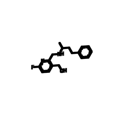 CC(CCc1ccccc1)NCc1nc(F)ccc1CO